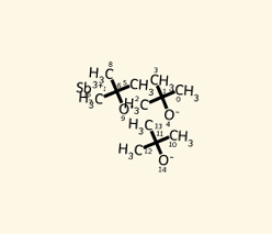 CC(C)(C)[O-].CC(C)(C)[O-].CC(C)(C)[O-].[Sb+3]